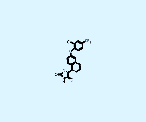 O=C1NC(=O)[C@@H]([C@@H]2CCCc3cc(Oc4ccc(C(F)(F)F)cc4Cl)ccc32)O1